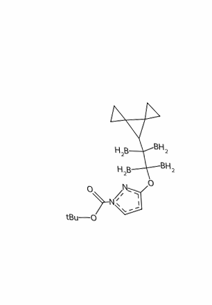 BC(B)(Oc1ccn(C(=O)OC(C)(C)C)n1)C(B)(B)C1C2(CC2)C12CC2